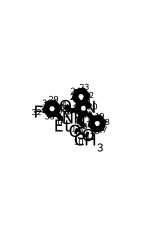 CCC(NC(=O)c1c(CCS(C)(=O)=O)c(-c2ccccc2)nc2ccccc12)c1cccc(F)c1